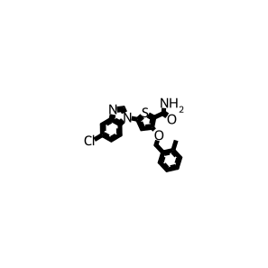 Cc1ccccc1COc1cc(-n2cnc3cc(Cl)ccc32)sc1C(N)=O